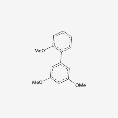 COc1[c]c(OC)cc(-c2ccccc2OC)c1